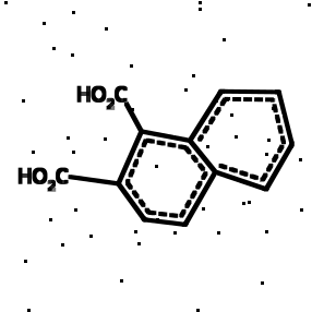 O=C(O)c1ccc2ccccc2c1C(=O)O